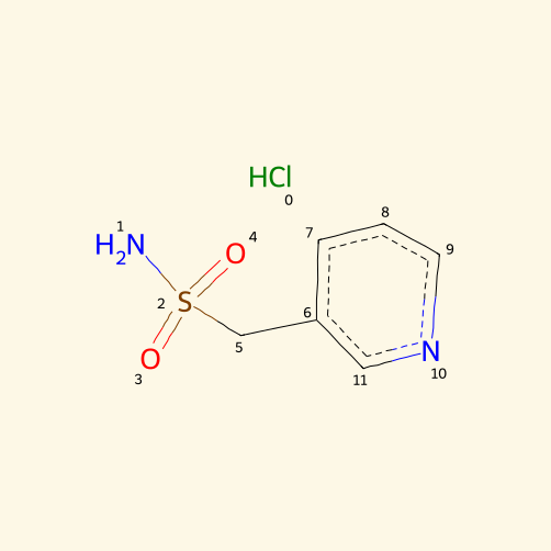 Cl.NS(=O)(=O)Cc1cccnc1